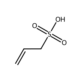 C=CCS(=O)(=O)O